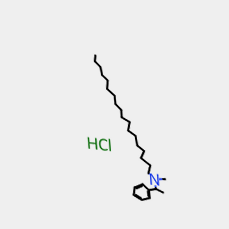 CCCCCCCCCCCCCCCCCCN(C)C(C)c1ccccc1.Cl